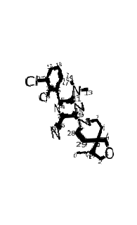 C[C@@H]1COCC12CCN(c1nc(N(C)C)c(-c3cccc(Cl)c3Cl)nc1C#N)CC2